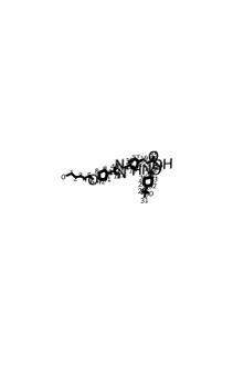 CCCCCCOc1ccc(-c2cnc(-c3ccc(C[C@H](NC(=O)c4ccc(C(C)(C)C)cc4)C(=O)O)cc3)nc2)cc1